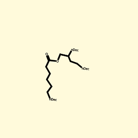 CCCCCCCCCCCCCCCC(=O)OCC(CCCCCCCCCC)CCCCCCCCCCCC